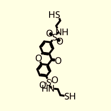 O=c1c2cc(S(=O)(=O)NCCS)ccc2oc2ccc(S(=O)(=O)NCCS)cc12